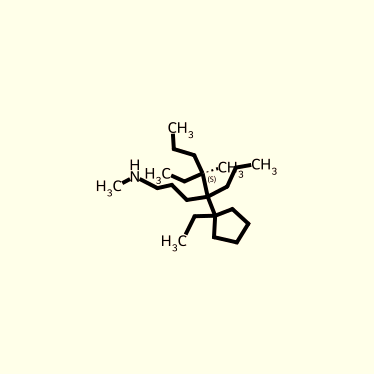 CCCC(CCCNC)(C1(CC)CCCC1)[C@@](C)(CC)CCC